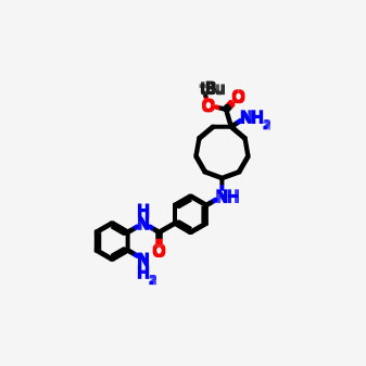 CC(C)(C)OC(=O)C1(N)CCCCC(Nc2ccc(C(=O)Nc3ccccc3N)cc2)CCC1